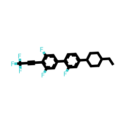 CCC1CCC(c2ccc(-c3cc(F)c(C#CC(F)(F)F)c(F)c3)c(F)c2)CC1